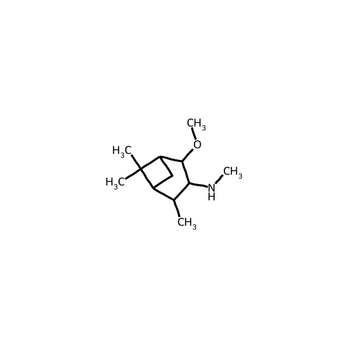 CNC1C(C)C2CC(C1OC)C2(C)C